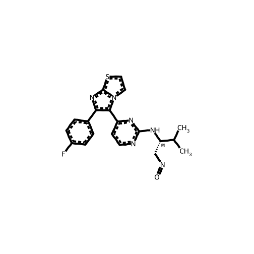 CC(C)[C@H](CN=O)Nc1nccc(-c2c(-c3ccc(F)cc3)nc3sccn23)n1